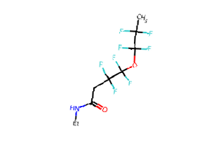 CCNC(=O)CC(F)(F)C(F)(F)OC(F)(F)C(C)(F)F